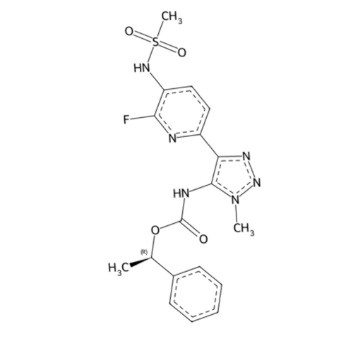 C[C@@H](OC(=O)Nc1c(-c2ccc(NS(C)(=O)=O)c(F)n2)nnn1C)c1ccccc1